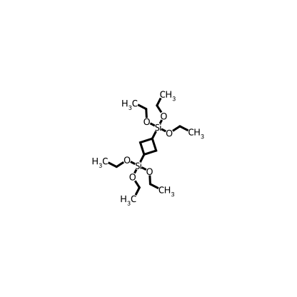 CCO[Si](OCC)(OCC)C1CC([Si](OCC)(OCC)OCC)C1